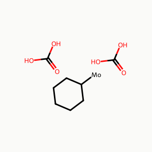 O=C(O)O.O=C(O)O.[Mo][CH]1CCCCC1